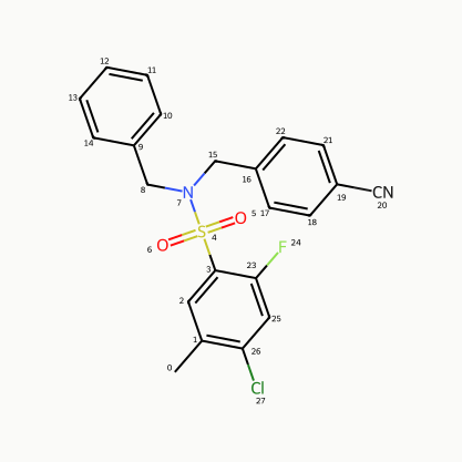 Cc1cc(S(=O)(=O)N(Cc2ccccc2)Cc2ccc(C#N)cc2)c(F)cc1Cl